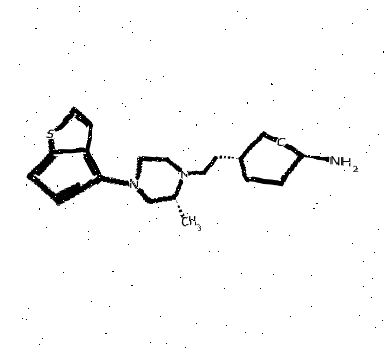 C[C@@H]1CN(c2cccc3sccc23)CCN1CC[C@H]1CC[C@H](N)CC1